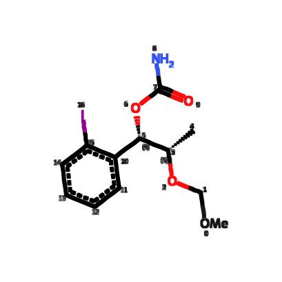 COCO[C@@H](C)[C@@H](OC(N)=O)c1ccccc1I